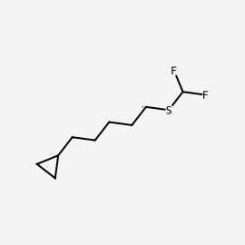 FC(F)S[CH]CCCCC1CC1